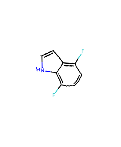 Fc1ccc(F)c2[nH][c]cc12